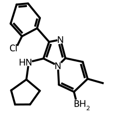 Bc1cn2c(NC3CCCC3)c(-c3ccccc3Cl)nc2cc1C